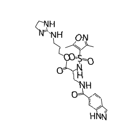 Cc1noc(C)c1S(=O)(=O)NC(CNC(=O)c1ccc2cn[nH]c2c1)C(=O)OCCCNC1=NCCN1